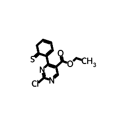 CCOC(=O)c1cnc(Cl)nc1C1=CC=CCC1=S